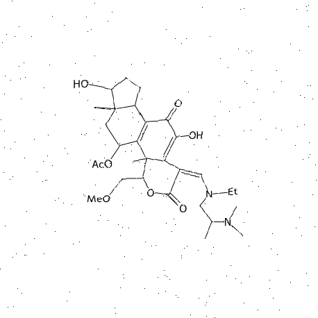 CCN(C=C1C(=O)OC(COC)C2(C)C1=C(O)C(=O)C1=C2C(OC(C)=O)CC2(C)C(O)CCC12)CC(C)N(C)C